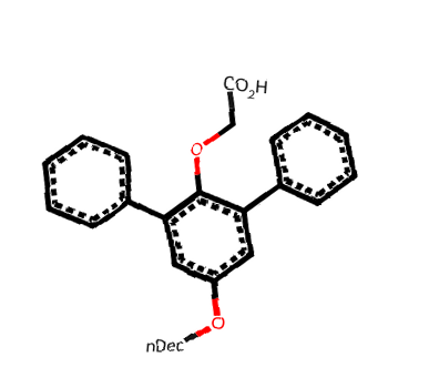 CCCCCCCCCCOc1cc(-c2ccccc2)c(OCC(=O)O)c(-c2ccccc2)c1